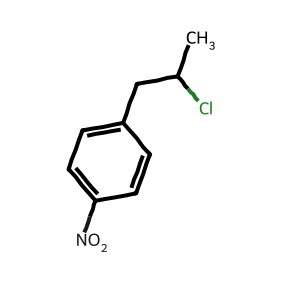 CC(Cl)Cc1ccc([N+](=O)[O-])cc1